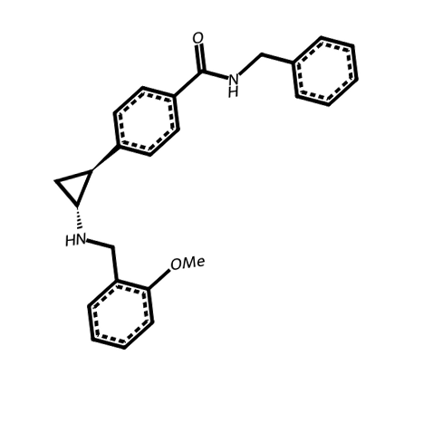 COc1ccccc1CN[C@@H]1C[C@H]1c1ccc(C(=O)NCc2ccccc2)cc1